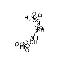 NC(=O)C(c1ccccc1)(c1ccccc1)[C@@H]1CCN(CCS(=O)(=O)NCCCCCNC[C@H](O)c2ccc(OCc3ccccc3)c3[nH]c(=O)ccc23)C1